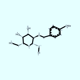 CCS[C@@H]1O[C@H](CO)[C@H](O)[C@H](O)[C@H]1OCc1ccc(OC)cc1